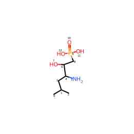 CC(C)CC(N)C(O)CP(=O)(O)O